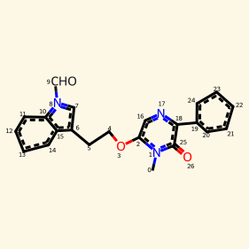 Cn1c(OCCc2cn(C=O)c3ccccc23)cnc(-c2ccccc2)c1=O